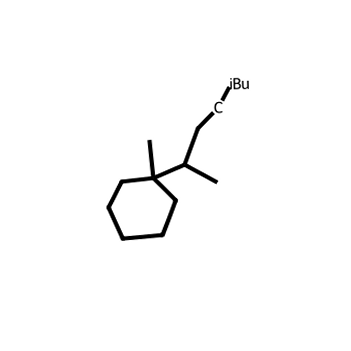 CCC(C)CCC(C)C1(C)CCCCC1